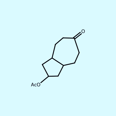 CC(=O)OC1CC2CCC(=O)CCC2C1